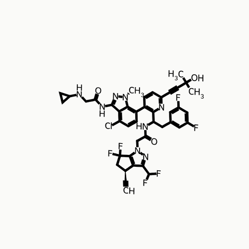 C#C[C@H]1CC(F)(F)c2c1c(C(F)F)nn2CC(=O)NC(Cc1cc(F)cc(F)c1)c1nc(C#CC(C)(C)O)ccc1-c1ccc(Cl)c2c(NC(=O)CNC3CC3)nn(C)c12